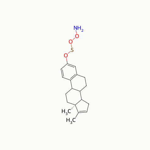 CC1=CCC2C3CCc4cc(OSOON)ccc4C3CC[C@]12C